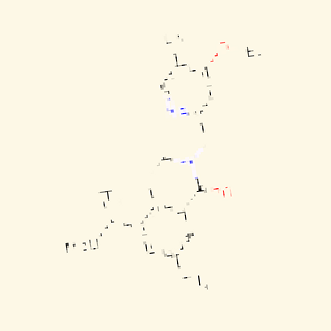 CCOc1cc(CN2CCc3c(cc(C)cc3C(OC)C(F)(F)F)C2=O)ncc1C#N